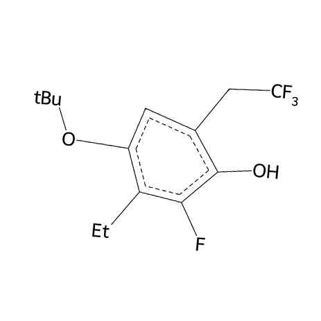 CCc1c(OC(C)(C)C)cc(CC(F)(F)F)c(O)c1F